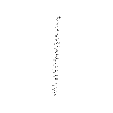 OCCCCCCCCCCCCCCCCCCSCCCCCCCCCCCCCCCCCCO